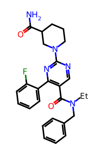 CCN(Cc1ccccc1)C(=O)c1cnc(N2CCCC(C(N)=O)C2)nc1-c1ccccc1F